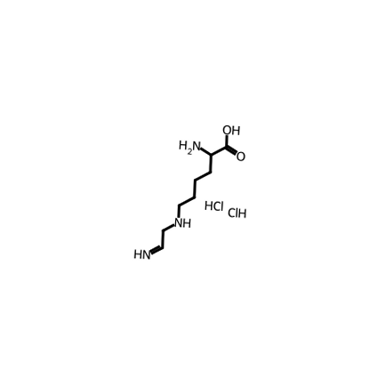 Cl.Cl.N=CCNCCCCC(N)C(=O)O